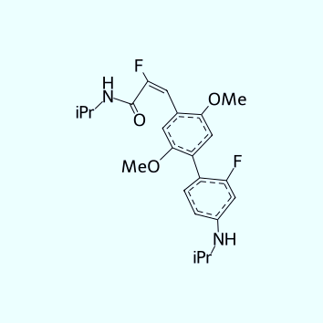 COc1cc(-c2ccc(NC(C)C)cc2F)c(OC)cc1/C=C(/F)C(=O)NC(C)C